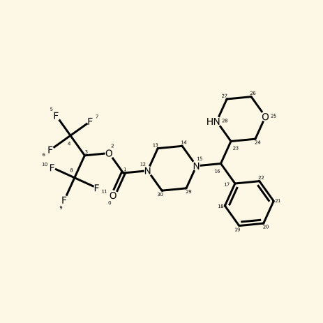 O=C(OC(C(F)(F)F)C(F)(F)F)N1CCN(C(c2ccccc2)C2COCCN2)CC1